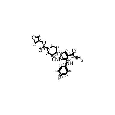 N#C[C@@H]1CN(C(=O)OC2COC2)CC[C@@H]1n1cc(C(N)=O)c(Nc2ccc(F)cc2)n1